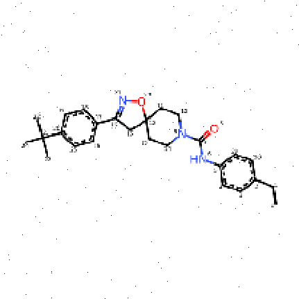 CCc1ccc(NC(=O)N2CCC3(CC2)CC(c2ccc(C(C)(C)C)cc2)=NO3)cc1